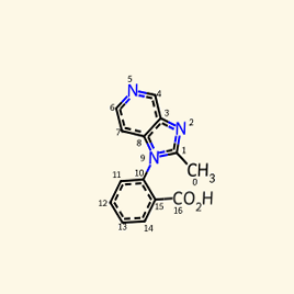 Cc1nc2cnccc2n1-c1ccccc1C(=O)O